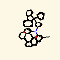 CC(C)(C)c1cc(N(c2cccc(C3(c4ccccc4)c4ccccc4-c4ccccc43)c2)c2ccccc2-c2cccc3cccc(C4CCCCC4)c23)cc(C(C)(C)C)c1